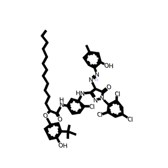 CCCCCCCCCCCCC(Oc1ccc(O)c(C(C)(C)C)c1)C(=O)Nc1ccc(Cl)c(NC2=NN(c3c(Cl)cc(Cl)cc3Cl)C(=O)C2/N=N/c2ccc(C)cc2O)c1